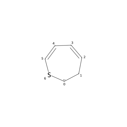 [C]1CC=CC=CS1